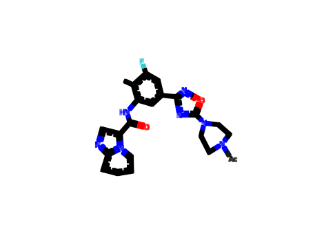 CC(=O)N1CCN(c2nc(-c3cc(F)c(C)c(NC(=O)c4cnc5ccccn45)c3)no2)CC1